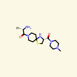 CC(C)[C@H](N)C(=O)N1CCC2(CC1)N[C@H](C(=O)N1CCN(C)CC1)CS2